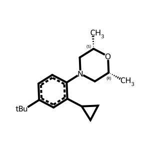 C[C@@H]1CN(c2ccc(C(C)(C)C)cc2C2CC2)C[C@H](C)O1